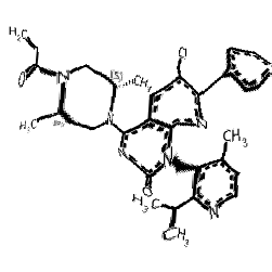 C=CC(=O)N1C[C@H](C)N(c2nc(=O)n(-c3c(C)ccnc3C(C)C)c3nc(-c4ccsc4)c(Cl)cc23)C[C@H]1C